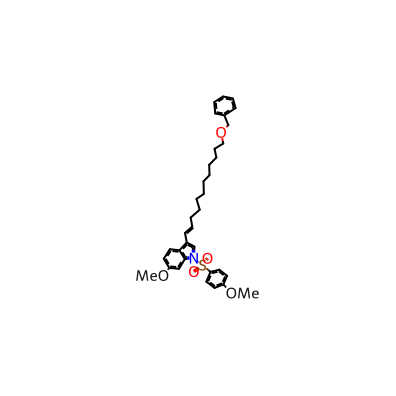 COc1ccc(S(=O)(=O)n2cc(C=CCCCCCCCCCCOCc3ccccc3)c3ccc(OC)cc32)cc1